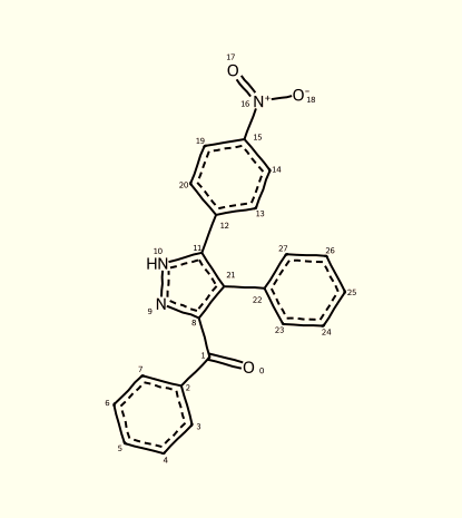 O=C(c1ccccc1)c1n[nH]c(-c2ccc([N+](=O)[O-])cc2)c1-c1ccccc1